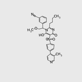 CCCCc1nc(=O)c(S(=O)(=O)c2ccc(-c3ccncc3C)cc2)c(O)n1C(COC)c1cccc(C#N)c1